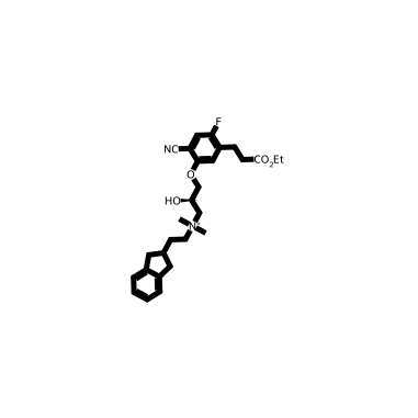 CCOC(=O)CCc1cc(OC[C@H](O)C[N+](C)(C)CCC2Cc3ccccc3C2)c(C#N)cc1F